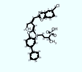 CCC(=Cc1nc2cc(Cl)ccc2o1)C=C1Oc2ccc(-c3ccccc3)cc2N1CCC(C)S(=O)(=O)O